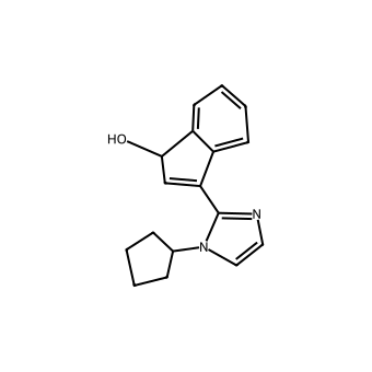 OC1C=C(c2nccn2C2CCCC2)c2ccccc21